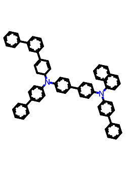 C1=CC(N(c2ccc(-c3ccccc3)cc2)c2ccc(-c3ccc(N(c4ccc(-c5ccccc5)cc4)c4cccc5ccccc45)cc3)cc2)CC=C1c1cccc(-c2ccccc2)c1